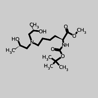 COC(=O)[C@H](CCCCN(C[C@H](C)O)C[C@H](C)O)NC(=O)OC(C)(C)C